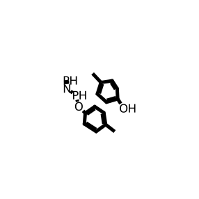 Cc1ccc(O)cc1.Cc1ccc(OPN=P)cc1